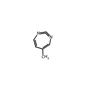 CC1=CN=C=NC=C1